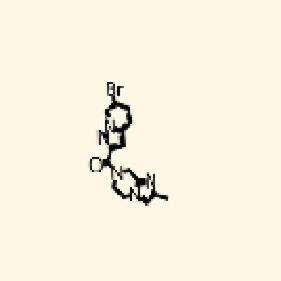 Cc1cn2c(n1)CN(C(=O)c1cc3ccc(Br)cn3n1)CC2